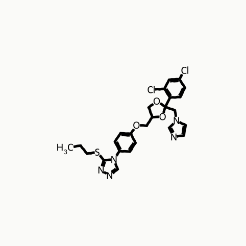 CCCSc1nncn1-c1ccc(OCC2COC(Cn3ccnc3)(c3ccc(Cl)cc3Cl)O2)cc1